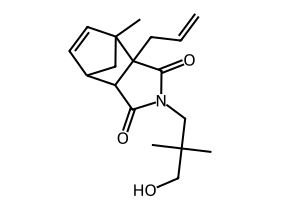 C=CCC12C(=O)N(CC(C)(C)CO)C(=O)C1C1C=CC2(C)C1